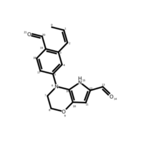 C/C=C\c1cc(N2CCOc3cc(C=O)[nH]c32)ccc1C=O